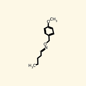 CCCC/[C]=N/OCc1ccc(OC)cc1